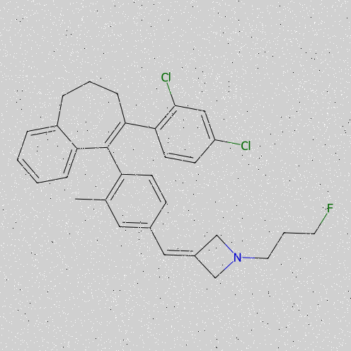 Cc1cc(C=C2CN(CCCF)C2)ccc1C1=C(c2ccc(Cl)cc2Cl)CCCc2ccccc21